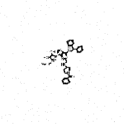 COC[C@H]1O[C@@H](n2cnc3c(NCC(c4ccccc4)c4ccccc4)nc(CNC4CCN(C(=O)c5ccccc5)CC4)nc32)[C@H](O)[C@@H]1O